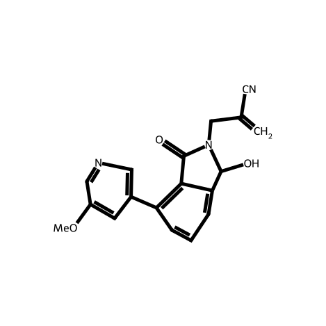 C=C(C#N)CN1C(=O)c2c(-c3cncc(OC)c3)cccc2C1O